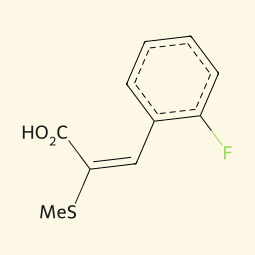 CSC(=Cc1ccccc1F)C(=O)O